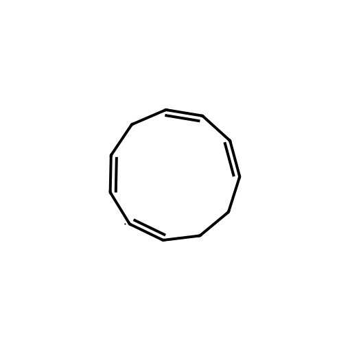 [C]1=CCCC=CC=CCC=C1